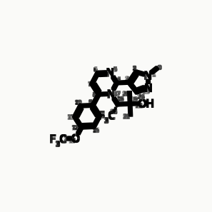 Cn1cc(C2N=CC=C(c3ccc(OC(F)(F)F)cc3)N2[C@H](C(C)(C)O)C(F)(F)F)cn1